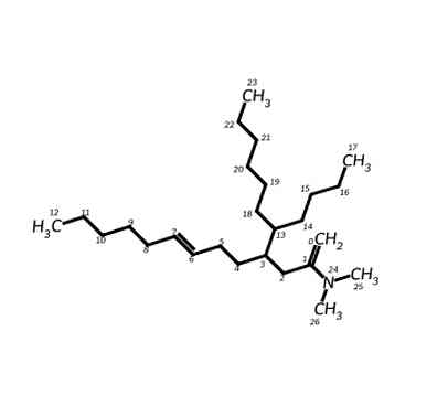 C=C(CC(CC/C=C/CCCCC)C(CCCC)CCCCCC)N(C)C